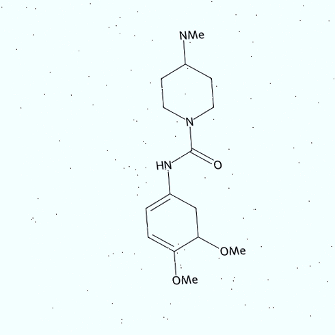 CNC1CCN(C(=O)NC2=CC=C(OC)C(OC)C2)CC1